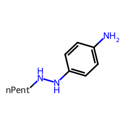 CCCCCNNc1ccc(N)cc1